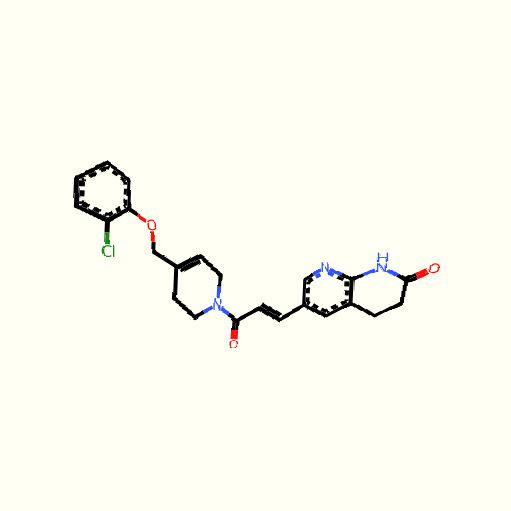 O=C1CCc2cc(C=CC(=O)N3CC=C(COc4ccccc4Cl)CC3)cnc2N1